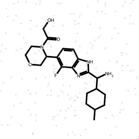 CC1CCC(C(N)c2nc3c(F)c(C4COCCN4C(=O)CO)ccc3[nH]2)CC1